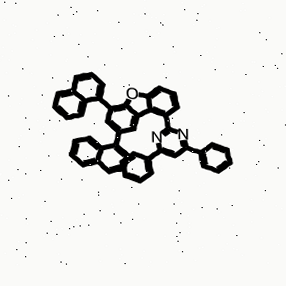 c1ccc(-c2cc(-c3ccccc3)nc(-c3cccc4oc5c(-c6cccc7ccccc67)cc(-c6cccc7ccccc67)cc5c34)n2)cc1